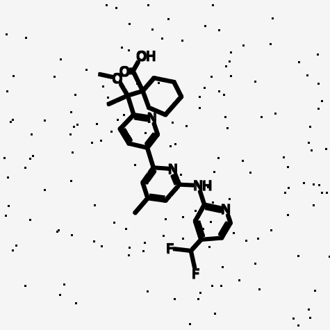 COC(C)(c1ccc(-c2cc(C)cc(Nc3cc(C(F)F)ccn3)n2)cn1)C1(C(=O)O)CCCCC1